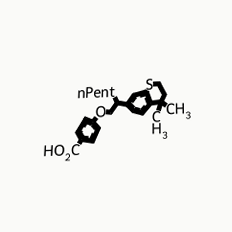 CCCCCC(COc1ccc(C(=O)O)cc1)c1ccc2c(c1)SCCC2(C)C